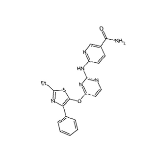 CCc1nc(-c2ccccc2)c(Oc2ccnc(Nc3ccc(C(N)=O)cn3)n2)s1